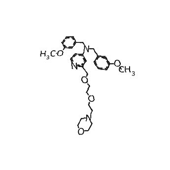 COc1cccc(CN(Cc2cccc(OC)c2)c2ccnc(COCCOCCN3CCOCC3)c2)c1